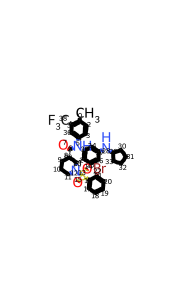 Cc1ccc(NC(=O)[C@H]2CCCN(S(=O)(=O)c3ccccc3Br)[C@H]2c2ccc(NC3CCCC3)cc2)cc1C(F)(F)F